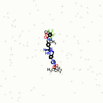 COc1c(F)c(F)c(F)c(F)c1C(=O)NCc1ccc(-c2nn3c(c2C#N)Nc2ccc(N4CCN(C(=O)OC(C)(C)C)CC4)cc2CC3)cc1C